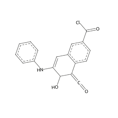 O=C=C1c2ccc(C(=O)Cl)cc2C=C(Nc2ccccc2)C1O